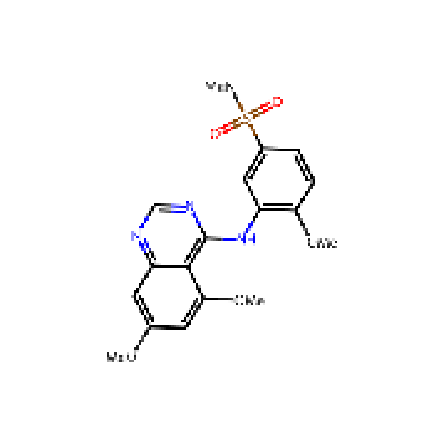 CNS(=O)(=O)c1ccc(OC)c(Nc2ncnc3cc(OC)cc(OC)c23)c1